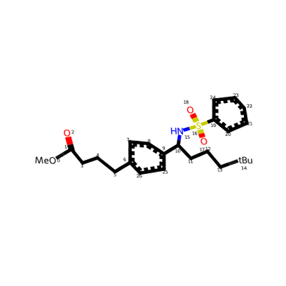 COC(=O)CCCc1ccc(C(CCCC(C)(C)C)NS(=O)(=O)c2ccccc2)cc1